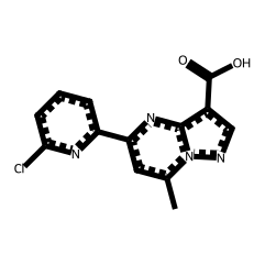 Cc1cc(-c2cccc(Cl)n2)nc2c(C(=O)O)cnn12